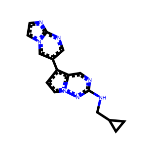 c1cn2cc(-c3ccn4nc(NCC5CC5)ncc34)cnc2n1